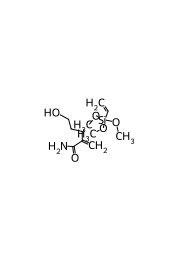 C=C(CCCO)C(N)=O.C=C[Si](OC)(OC)OC